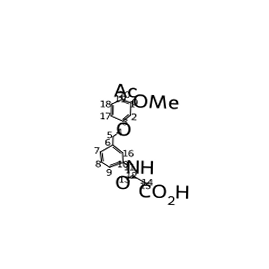 COc1cc(OCc2cccc(NC(=O)CC(=O)O)c2)ccc1C(C)=O